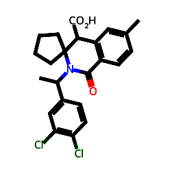 Cc1ccc2c(c1)C(C(=O)O)C1(CCCC1)N(C(C)c1ccc(Cl)c(Cl)c1)C2=O